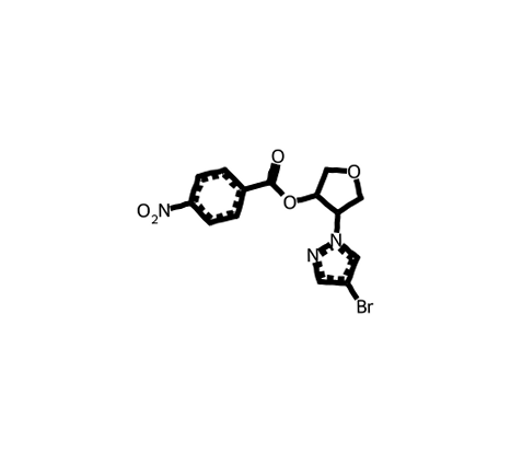 O=C(OC1COCC1n1cc(Br)cn1)c1ccc([N+](=O)[O-])cc1